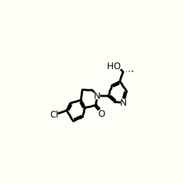 C[C@@H](O)c1cncc(N2CCc3cc(Cl)ccc3C2=O)c1